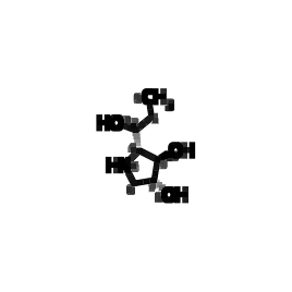 CCC(O)[C@H]1NC[C@@H](O)[C@@H]1O